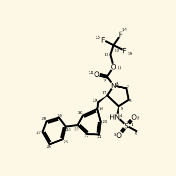 CS(=O)(=O)N[C@@H]1CCN(C(=O)OCC(F)(F)F)[C@@H]1Cc1cccc(-c2ccccc2)c1